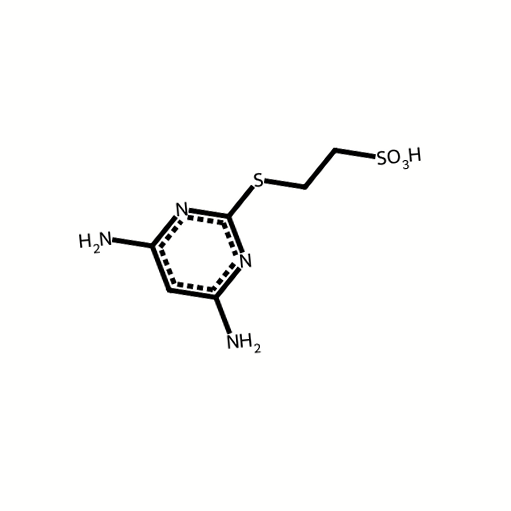 Nc1cc(N)nc(SCCS(=O)(=O)O)n1